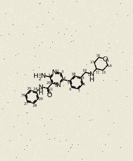 Nc1ncc(-c2cccc(CNC3CCOCC3)c2)nc1C(=O)Nc1ccccc1